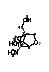 N[C@@H]1O[C@@]2(CO)COC1C2O